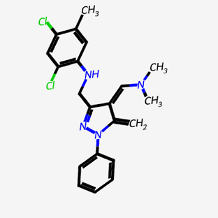 C=c1c(=CN(C)C)c(CNc2cc(C)c(Cl)cc2Cl)nn1-c1ccccc1